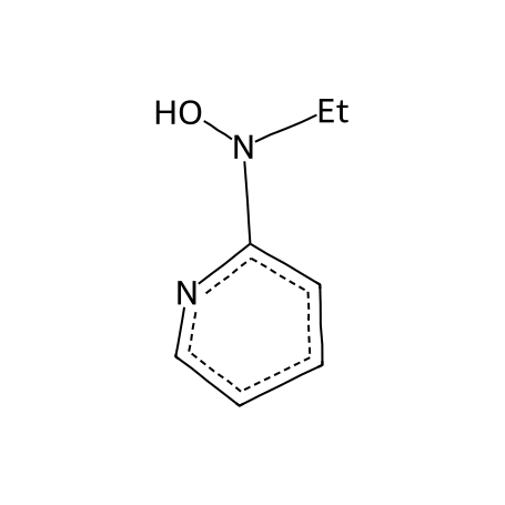 CCN(O)c1ccccn1